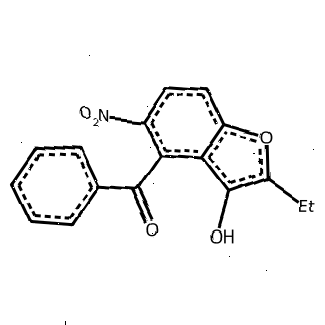 CCc1oc2ccc([N+](=O)[O-])c(C(=O)c3ccccc3)c2c1O